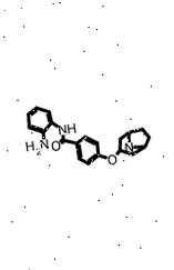 CN1C2CCC1CC(Oc1ccc(C(=O)Nc3ccccc3N)cc1)C2